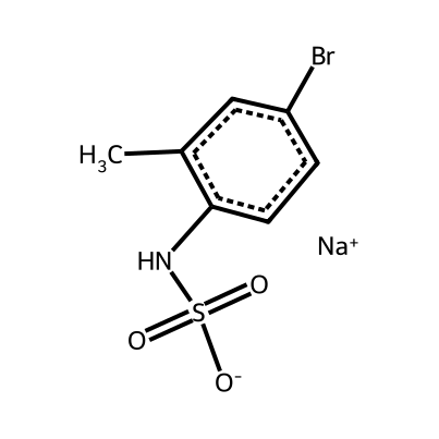 Cc1cc(Br)ccc1NS(=O)(=O)[O-].[Na+]